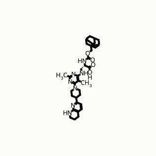 Cc1nc(NC[C@H](NC(=O)OCC23CC4CC(CC(C4)C2)C3)C(=O)O)c(C)c(N2CCC(c3ccc4c(n3)NCCC4)CC2)n1